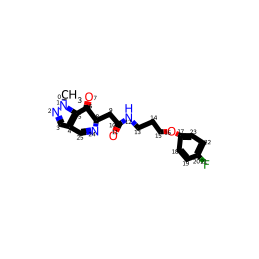 Cn1ncc2c1C(=O)C(CC(=O)NCCCOc1ccc(F)cc1)N=C2